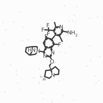 Cc1nc(N)c(C)c(-c2c(F)cc3c(N4CC5CCC(C4)N5)nc(OC[C@@]45CCCN4C[C@H](C)C5)nc3c2F)c1C(F)(F)F